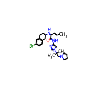 CCCC(NC1CCc2cc(Br)ccc2C1)C(=O)Nc1cn(C(C)(C)CN2CCCC2)cn1